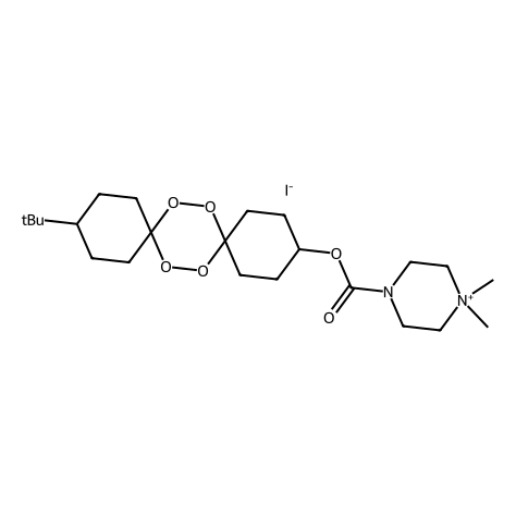 CC(C)(C)C1CCC2(CC1)OOC1(CCC(OC(=O)N3CC[N+](C)(C)CC3)CC1)OO2.[I-]